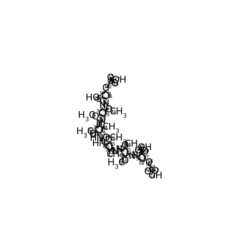 COc1cc(N=Nc2ccc(OCCS(=O)(=O)O)cc2SO)c(OC)cc1N=Nc1cc(OC)c(NC(=O)Nc2cc(C)c(N=Nc3cc(OC)c(N=Nc4ccc(OCCS(=O)(=O)O)cc4S(=O)(=O)O)cc3OC)cc2OC)cc1C